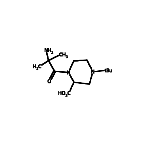 CC(C)(N)C(=O)N1CCN(C(C)(C)C)CC1C(=O)O